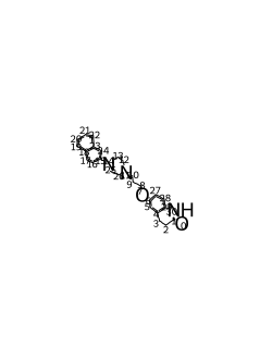 O=C1CCc2cc(OCCCN3CCN(c4ccc5ccccc5c4)CC3)ccc2N1